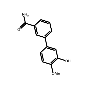 COc1ccc(-c2cccc(C(N)=O)c2)cc1O